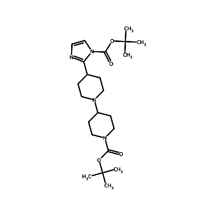 CC(C)(C)OC(=O)N1CCC(N2CCC(c3nccn3C(=O)OC(C)(C)C)CC2)CC1